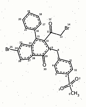 CS(=O)(=O)c1ccc(Cn2c(C(=O)CBr)c(-c3ccccc3)c3cc(Br)ccc3c2=O)cc1